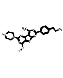 CCOc1nc(N2CCNCC2)nc2c1sc1nc(-c3ccc(CCO)cc3)nc(C)c12